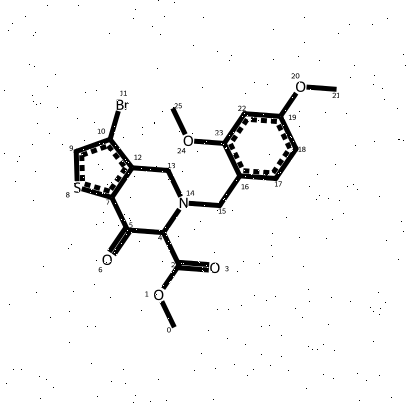 COC(=O)C1C(=O)c2scc(Br)c2CN1Cc1ccc(OC)cc1OC